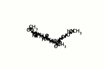 CNCCOCCOCCC(=O)N[C@@H](CCCCNC(=O)CCCCn1cc(COC(C)=O)nn1)C(C)=O